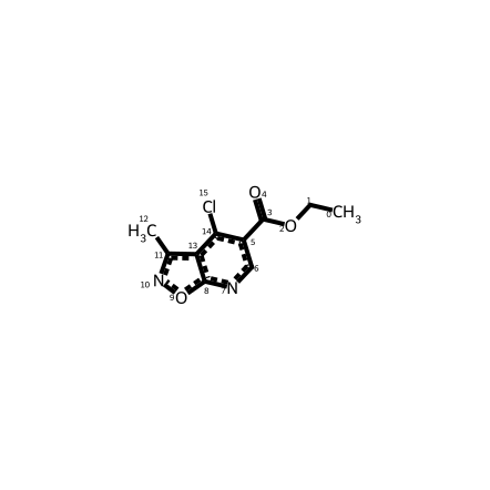 CCOC(=O)c1cnc2onc(C)c2c1Cl